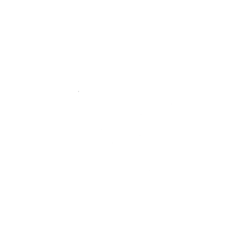 CC(C)(C)C1=CC2C(=C1)C(c1ccccc1)CC2(c1ccccc1)C1c2ccc(C(C)(C)C)cc2-c2cc(C(C)(C)C)ccc21.[Cl-].[Cl-].[Zr+2]